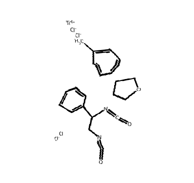 C1CCOC1.Cc1ccccc1.O=C=NCC(N=C=O)c1ccccc1.[Cl-].[Cl-].[Cl-].[Cl-].[Ti+4]